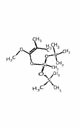 COC(O[Si](C)(O[Si](C)(C)C)O[Si](C)(C)C)=C(C)C